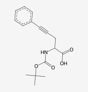 CC(C)(C)OC(=O)NC(CC#Cc1ccccc1)C(=O)O